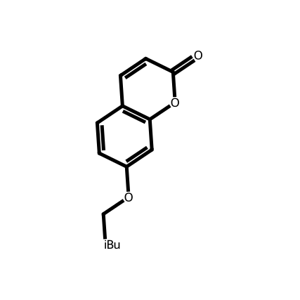 CCC(C)COc1ccc2ccc(=O)oc2c1